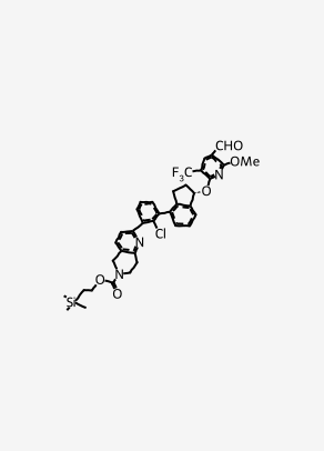 COc1nc(O[C@H]2CCc3c(-c4cccc(-c5ccc6c(n5)CCN(C(=O)OCC[Si](C)(C)C)C6)c4Cl)cccc32)c(C(F)(F)F)cc1C=O